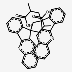 CC(CC1(CC2(CC(C)C(=O)O)c3ccccc3-c3nc4ccccc4cc32)c2ccccc2-c2nc3ccccc3cc21)C(=O)O